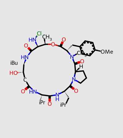 CC[C@H](C)[C@H]1NC(=O)[C@@H](NCl)[C@@H](C)OC(=O)[C@H](Cc2ccc(OC)cc2)N(C)C(=O)[C@@H]2CCCN2C(=O)[C@H](CC(C)C)NC(=O)[C@H](C(C)C)NC(=O)C[C@@H]1O